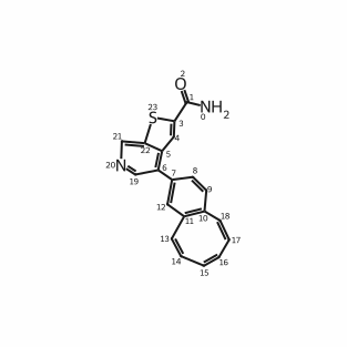 NC(=O)c1cc2c(-c3ccc4c(c3)\C=C/C=C\C=C/4)cncc2s1